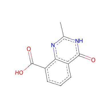 Cc1nc2c(C(=O)O)cccc2c(=O)[nH]1